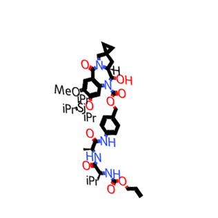 C=CCOC(=O)N[C@H](C(=O)N[C@@H](C)C(=O)Nc1ccc(COC(=O)N2c3cc(O[Si](C(C)C)(C(C)C)C(C)C)c(OC)cc3C(=O)N3CC4(CC4)C[C@H]3C2O)cc1)C(C)C